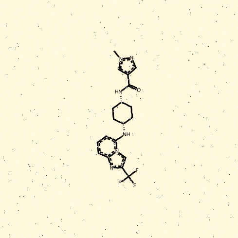 Cn1cc(C(=O)N[C@H]2CC[C@@H](Nc3cccc4nc(C(F)(F)F)cn34)CC2)cn1